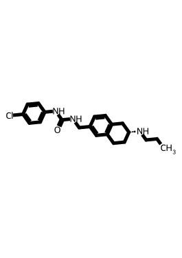 CCCN[C@@H]1CCc2cc(CNC(=O)Nc3ccc(Cl)cc3)ccc2C1